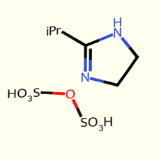 CC(C)C1=NCCN1.O=S(=O)(O)OS(=O)(=O)O